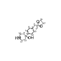 CC1(Cc2ccc(C3(O)CCNCC3)cc2)OCCO1